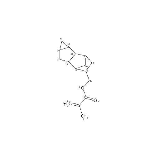 C=C(C)C(=O)OCC1CC2CC1C1CC3CC3C21